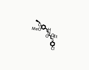 C#CCOc1ccc(CCNC(=O)C(CSc2ccc(Cl)cc2)OCC)cc1OC